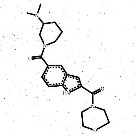 CN(C)C1CCCN(C(=O)c2ccc3[nH]c(C(=O)N4CCOCC4)cc3c2)C1